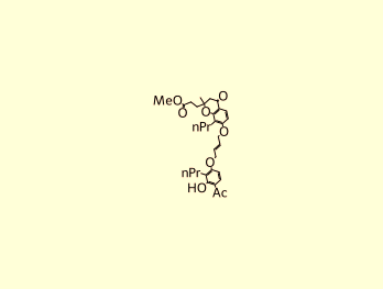 CCCc1c(OCC=CCOc2ccc3c(c2CCC)OC(C)(CCC(=O)OC)CC3=O)ccc(C(C)=O)c1O